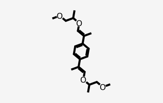 COCC(C)OC=C(C)c1ccc(C(C)=COC(C)COC)cc1